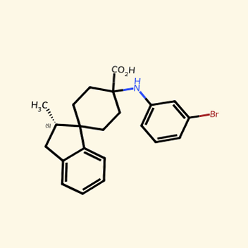 C[C@H]1Cc2ccccc2C12CCC(Nc1cccc(Br)c1)(C(=O)O)CC2